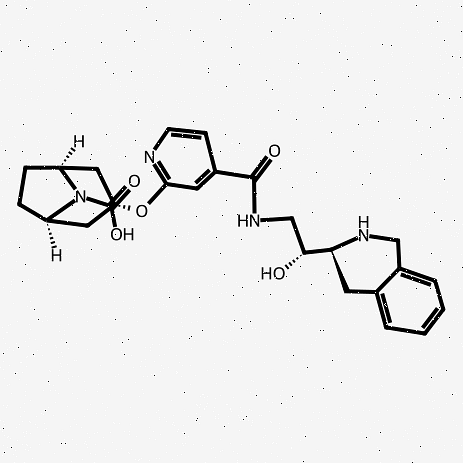 O=C(NC[C@@H](O)[C@@H]1Cc2ccccc2CN1)c1ccnc(O[C@@H]2C[C@H]3CC[C@@H](C2)N3C(=O)O)c1